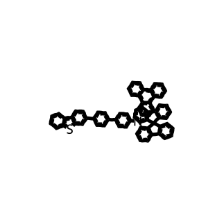 c1ccc2c(c1)-c1ccccc1C21c2ccccc2-c2cccc(N(c3ccc(-c4ccc(-c5ccc6c(c5)sc5ccccc56)cc4)cc3)c3ccc4c5ccccc5c5ccccc5c4c3)c21